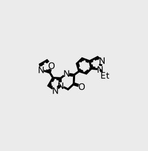 CCn1ncc2ccc(C3=Nc4c(-c5ncco5)cnn4CC3=O)cc21